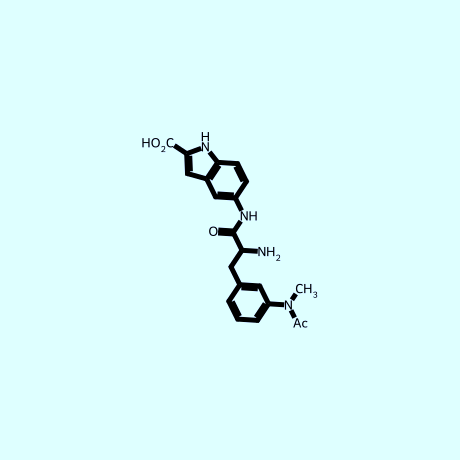 CC(=O)N(C)c1cccc(CC(N)C(=O)Nc2ccc3[nH]c(C(=O)O)cc3c2)c1